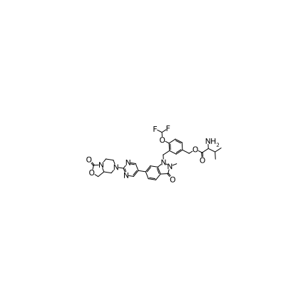 CC(C)C(N)C(=O)OCc1ccc(OC(F)F)c(Cn2c3cc(-c4cnc(N5CCN6C(=O)OCC6C5)nc4)ccc3c(=O)n2C)c1